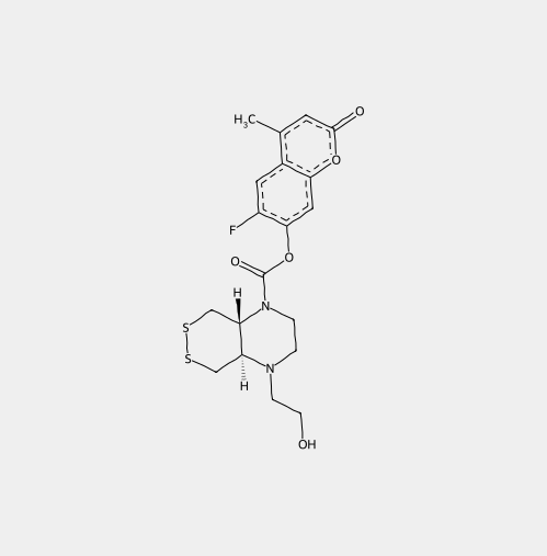 Cc1cc(=O)oc2cc(OC(=O)N3CCN(CCO)[C@H]4CSSC[C@@H]43)c(F)cc12